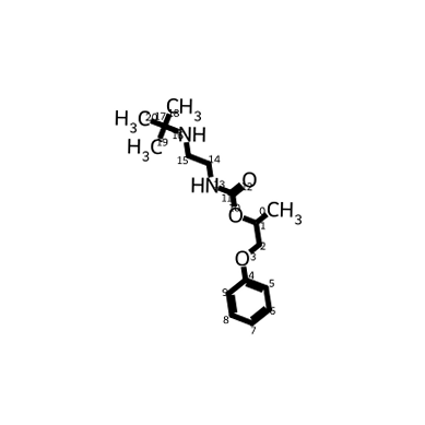 CC(COc1ccccc1)OC(=O)NCCNC(C)(C)C